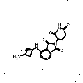 NC12CC(Nc3cccc4c3C(=O)N(C3CCC(=O)NC3=O)C4=O)(C1)C2